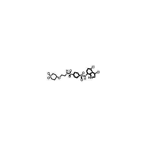 O=S1(=O)CCC(OCCNS(=O)(=O)c2ccc(S(=O)(=O)Nc3ccc(Cl)c4c(Cl)c[nH]c34)cc2)CC1